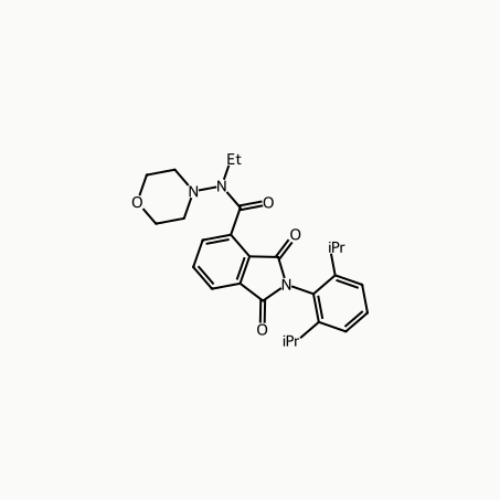 CCN(C(=O)c1cccc2c1C(=O)N(c1c(C(C)C)cccc1C(C)C)C2=O)N1CCOCC1